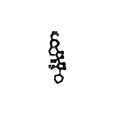 C=Cc1ccc2c(c1)CCC1C2=NOC1(O)c1noc(C2CCCCC2)c1C(F)(F)F